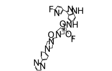 O=C(CN1CC[C@@](COCF)(C(=O)Nc2ccc3[nH]nc(-c4ccc(F)nc4)c3c2)C1)N1CCN(c2ccc(-c3ncccn3)cc2)CC1